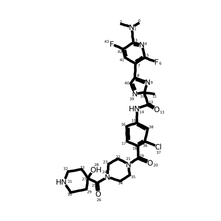 CN(C)c1nc(F)c(C2=NC(C)(C(=O)Nc3ccc(C(=O)N4CCN(C(=O)C5(O)CCNCC5)CC4)c(Cl)c3)N=C2)cc1F